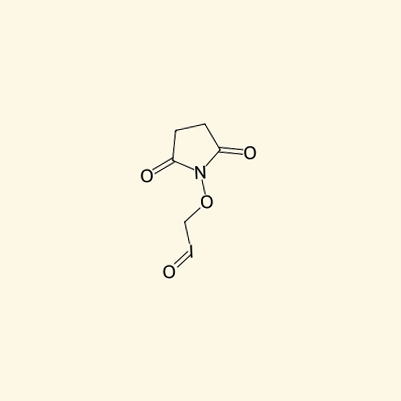 O=ICON1C(=O)CCC1=O